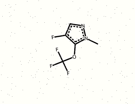 Cn1n[c]c(F)c1OC(F)(F)F